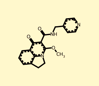 COc1c(C(=O)NCc2ccncc2)c(=O)c2cccc3c2n1CC3